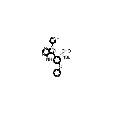 CC(C)(C)OC=O.Nc1ncnc2c1c(-c1ccc(Oc3ccccc3)cc1)nn2-c1cc[nH]c1